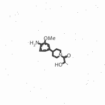 COc1cc(C2CCN(C(=O)[C@H](C)O)CC2)ccc1N